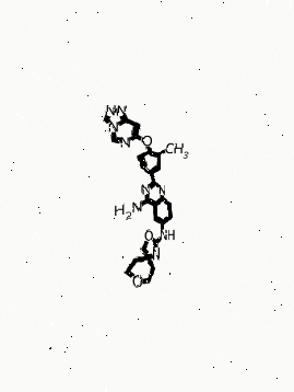 Cc1cc(-c2nc(N)c3cc(NC4=NC5(CCOCC5)CO4)ccc3n2)ccc1Oc1cc2nncn2cn1